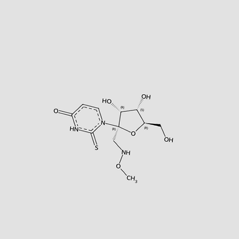 CONC[C@@]1(n2ccc(=O)[nH]c2=S)O[C@H](CO)[C@@H](O)[C@H]1O